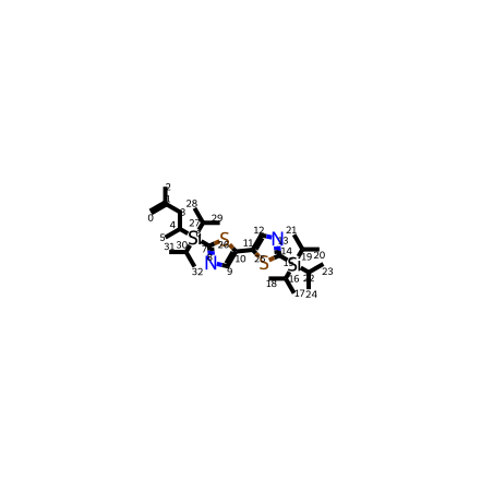 C=C(C)CC(C)[Si](c1ncc(-c2cnc([Si](C(C)C)(C(C)C)C(C)C)s2)s1)(C(C)C)C(C)C